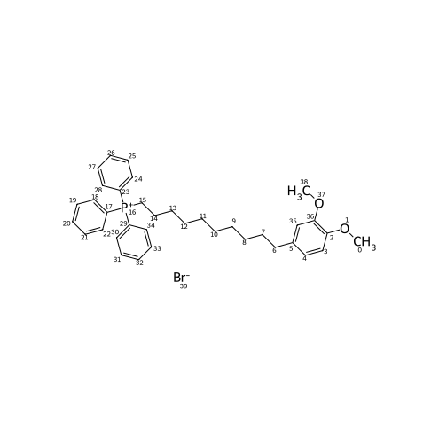 COc1ccc(CCCCCCCCCC[P+](c2ccccc2)(c2ccccc2)c2ccccc2)cc1OC.[Br-]